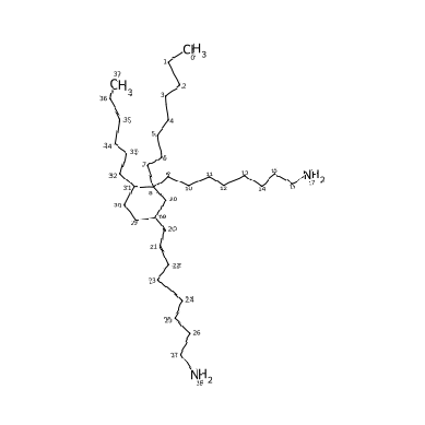 CCCCCCCCC1(CCCCCCCCN)CC(CCCCCCCCN)CCC1CCCCCC